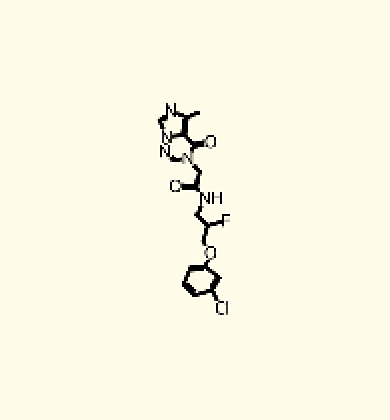 Cc1ncn2ncn(CC(=O)NCC(F)COc3cccc(Cl)c3)c(=O)c12